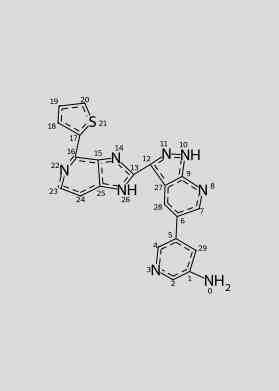 Nc1cncc(-c2cnc3[nH]nc(-c4nc5c(-c6cccs6)nccc5[nH]4)c3c2)c1